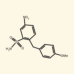 COc1ccc(Cc2ccc([N+](=O)[O-])cc2S(N)(=O)=O)cc1